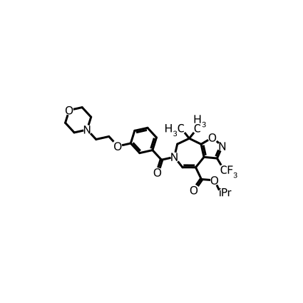 CC(C)OC(=O)C1=CN(C(=O)c2cccc(OCCN3CCOCC3)c2)CC(C)(C)c2onc(C(F)(F)F)c21